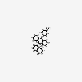 COc1ccc(-c2c3ccccc3c(-c3cccc4ccccc34)c3ccccc23)cc1